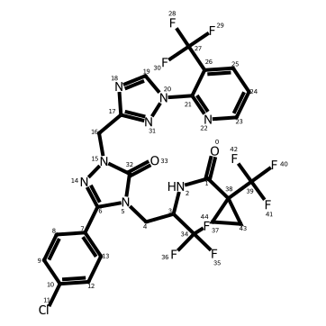 O=C(NC(Cn1c(-c2ccc(Cl)cc2)nn(Cc2ncn(-c3ncccc3C(F)(F)F)n2)c1=O)C(F)(F)F)C1(C(F)(F)F)CC1